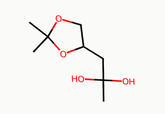 CC(O)(O)CC1COC(C)(C)O1